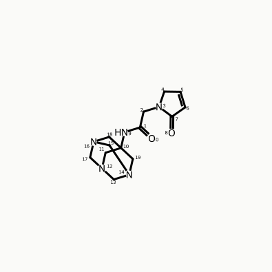 O=C(CN1CC=CC1=O)NC12CN3CN(CN(C3)C1)C2